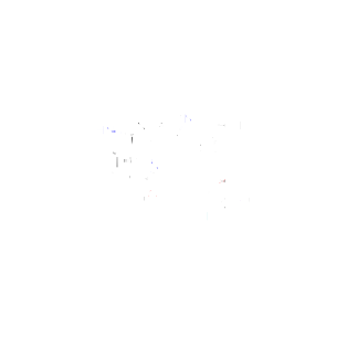 CC(=O)NC(=N)[C@]12C=CC1C(=O)N(CC(C=N)C1C(C)=C1OCC(F)(F)I)C2